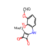 COc1c(Nc2cccc(OC=O)c2O)c(=O)c1=O